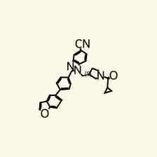 N#Cc1ccc2c(c1)nc(-c1ccc(-c3ccc4occc4c3)cc1)n2C[C@H]1CCN(C(=O)C2CC2)C1